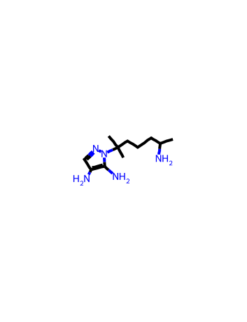 CC(N)CCCC(C)(C)n1ncc(N)c1N